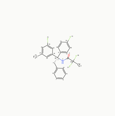 O=C(N[C@](Cc1ccccc1)(c1ccc(F)cc1)c1cc(F)cc(C(F)(F)F)c1)C(F)(F)C(F)(F)F